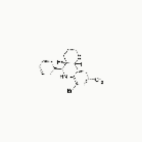 FC(F)(F)c1cc(Br)c2c(c1)[C@H]1OCCC[C@H]1[C@H](C1C=CC=CC1)N2